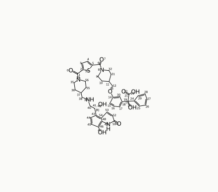 O=C(c1ccc(C(=O)N2CCC(COc3cccc([C@](O)(C(=O)O)c4ccccc4)c3)CC2)s1)N1CCC(CNC[C@H](O)c2ccc(O)c3[nH]c(=O)ccc23)CC1